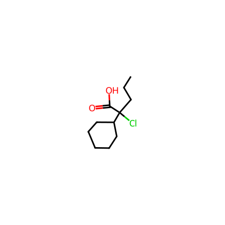 CCCC(Cl)(C(=O)O)C1CCCCC1